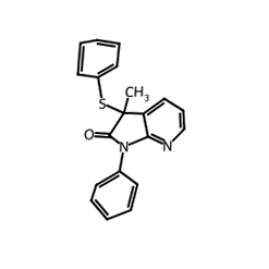 CC1(Sc2ccccc2)C(=O)N(c2ccccc2)c2ncccc21